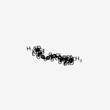 CCC1C(=O)N(C)C(=O)C1C1C(=O)N(CN2C(=O)c3ccc(C(c4ccc5c(c4)C(=O)N(c4ccc(Oc6ccc(N7C(=O)C(CC)C(C8C(=O)N(C)C(=O)C8CC)C7=O)cc6)cc4)C5=O)(C(F)(F)F)C(F)(F)F)cc3C2=O)C(=O)C1CC